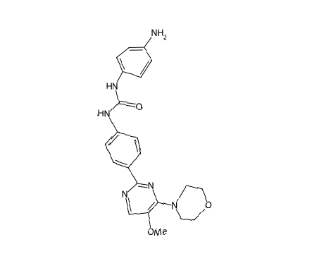 COc1cnc(-c2ccc(NC(=O)Nc3ccc(N)cc3)cc2)nc1N1CCOCC1